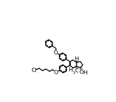 C[C@]12CC(c3ccc(OCCCCCCl)cc3)=C(c3ccc(OCc4ccccc4)cc3)C[C@@H]1CC[C@@H]2O